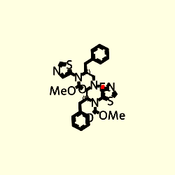 CCN(C[C@H](Cc1ccccc1)N(C(=O)OC)c1cncs1)C[C@H](Cc1ccccc1)N(C(=O)OC)c1cncs1